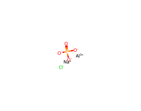 O=P([O-])([O-])[O-].[Al+3].[Cl-].[Na+]